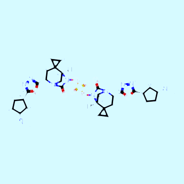 N[C@@H]1CC[C@@H](c2nnc([C@@H]3CC4(CC4)[C@@H]4CN3C(=O)N4OS(=O)(=O)ON3C(=O)N4C[C@H]3C3(CC3)C[C@H]4c3nnc([C@@H]4CC[C@@H](N)C4)o3)o2)C1